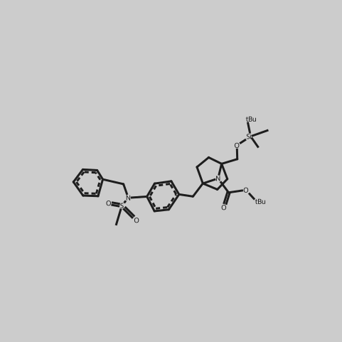 CC(C)(C)OC(=O)N1C2(CO[Si](C)(C)C(C)(C)C)CCC1(Cc1ccc(N(Cc3ccccc3)S(C)(=O)=O)cc1)CC2